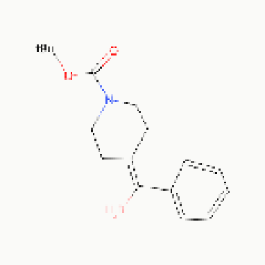 BC(=C1CCN(C(=O)OC(C)(C)C)CC1)c1ccccc1